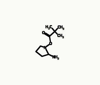 CC(C)(C)C(=O)ON1CCCC1N